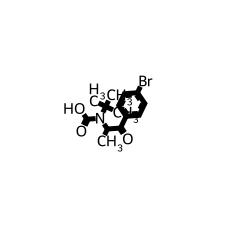 CC(C(=O)c1ccc(Br)cc1)N(C(=O)O)C(C)(C)C